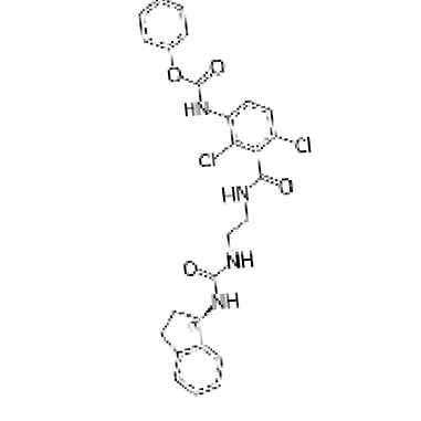 O=C(NCCNC(=O)c1c(Cl)ccc(NC(=O)Oc2ccccc2)c1Cl)N[C@@H]1CCc2ccccc21